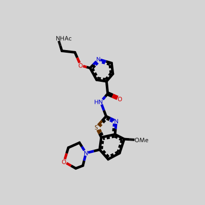 COc1ccc(N2CCOCC2)c2sc(NC(=O)c3ccnc(OCCNC(C)=O)c3)nc12